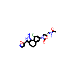 CC(=O)NC[C@H]1CN(c2cc(F)c3c(c2)CCCc2c(-c4ccno4)n[nH]c2-3)C(=O)O1